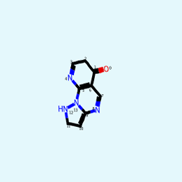 O=C1CC=NC2=C1C=NC1=CCNN12